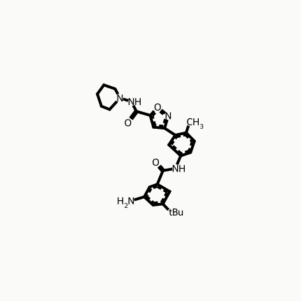 Cc1ccc(NC(=O)c2cc(N)cc(C(C)(C)C)c2)cc1-c1cc(C(=O)NN2CCCCC2)on1